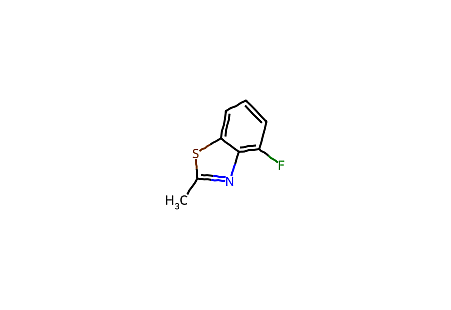 Cc1nc2c(F)cccc2s1